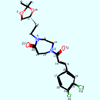 CC1(C)OC[C@@H](CCN2CCN(C(=O)C=Cc3ccc(Cl)c(Cl)c3)CCC2=O)O1